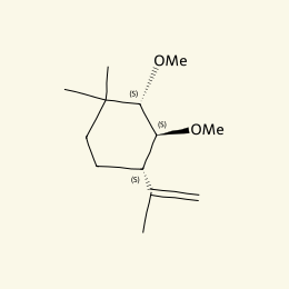 C=C(C)[C@@H]1CCC(C)(C)[C@H](OC)[C@H]1OC